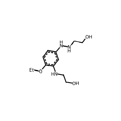 CCOc1ccc(NNCCO)cc1NCCO